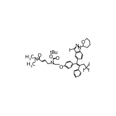 CN(C)C(=O)/C=C/CN(CCOc1ccc(/C(=C(/CC(I)(I)I)c2ccccc2)c2ccc3c(c2)c(I)nn3C2CCCCO2)cc1)C(=O)OC(C)(C)C